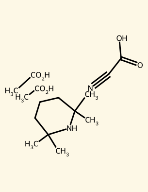 CC(=O)O.CC(=O)O.CC1(C)CCCC(C)(C)N1.N#CC(=O)O